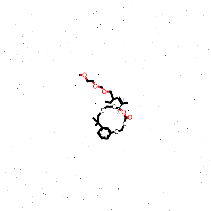 CCC(/C=C(/C)[C@@H]1CCCCC(C)(C)c2cccc(c2)CCCC(=O)O1)COCOCCOC